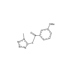 COc1cccc(C(=O)Sc2nnnn2C)c1